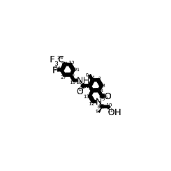 Cc1ccc2c(=O)n([C@H](C)CO)ccc2c1C(=O)NCc1ccc(C(F)(F)F)c(F)c1